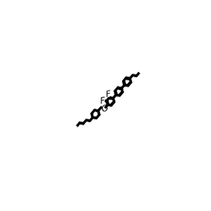 CCCCCC1CCC(COc2ccc(-c3ccc(-c4ccc(CCC)cc4)cc3)c(F)c2F)CC1